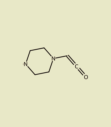 O=C=CN1CC[N]CC1